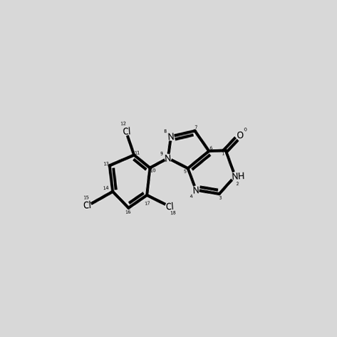 O=c1[nH]cnc2c1cnn2-c1c(Cl)cc(Cl)cc1Cl